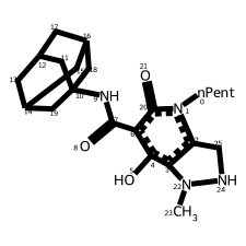 CCCCCn1c2c(c(O)c(C(=O)NC34CC5CC(CC(C5)C3)C4)c1=O)N(C)NC2